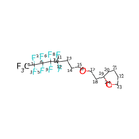 FC(F)(F)C(F)(F)C(F)(F)C(F)(F)C(F)(F)CCCOCCC1CCCCO1